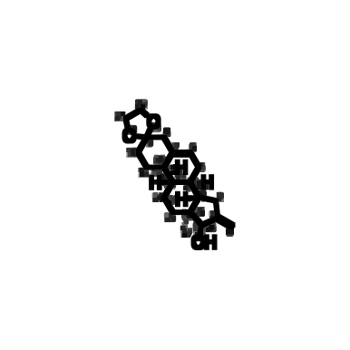 C=C1C[C@H]2[C@@H]3CC=C4CC5(CC[C@@H]4[C@H]3CC[C@]2(C)[C@@H]1O)OCCO5